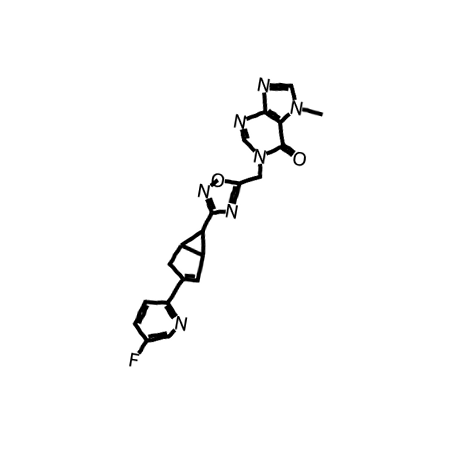 Cn1cnc2ncn(Cc3nc(C4C5C=C(c6ccc(F)cn6)CC54)no3)c(=O)c21